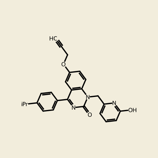 C#CCOc1ccc2c(c1)c(-c1ccc(C(C)C)cc1)nc(=O)n2Cc1cccc(O)n1